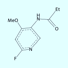 CCC(=O)Nc1cnc(F)cc1OC